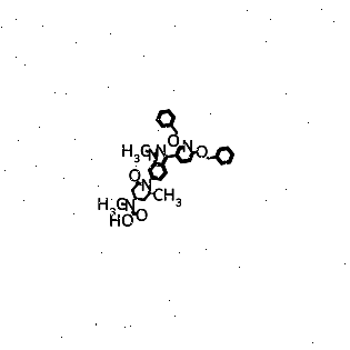 C[C@@H]1C[C@H](N(C)C(=O)O)CC(=O)N1c1ccc2c(-c3ccc(OCc4ccccc4)nc3OCc3ccccc3)nn(C)c2c1